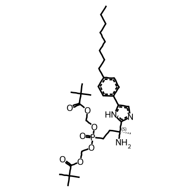 CCCCCCCCc1ccc(-c2cnc([C@@](C)(N)CCP(=O)(OCOC(=O)C(C)(C)C)OCOC(=O)C(C)(C)C)[nH]2)cc1